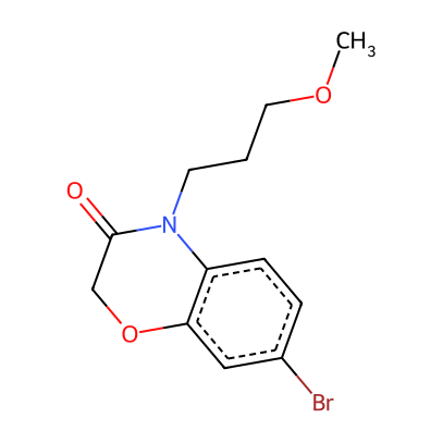 COCCCN1C(=O)COc2cc(Br)ccc21